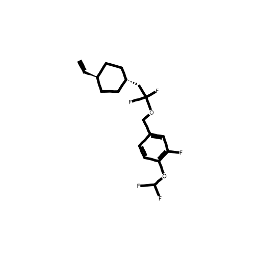 C=C[C@H]1CC[C@H](CC(F)(F)OCc2ccc(OC(F)F)c(F)c2)CC1